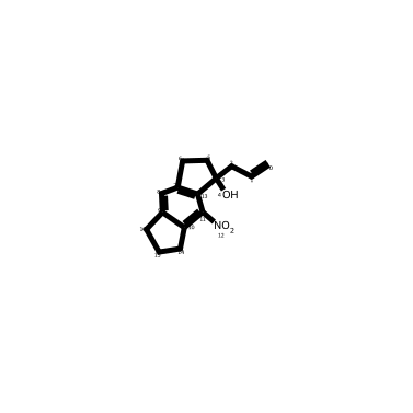 C=CCC1(O)CCc2cc3c(c([N+](=O)[O-])c21)CCC3